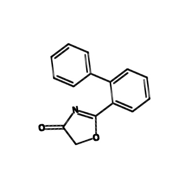 O=C1COC(c2ccccc2-c2ccccc2)=N1